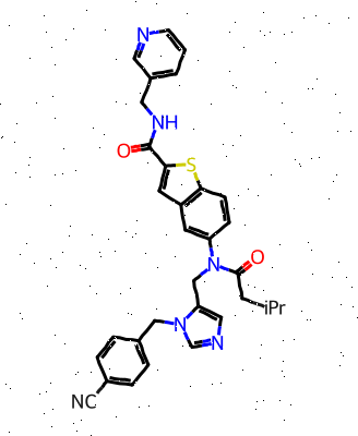 CC(C)CC(=O)N(Cc1cncn1Cc1ccc(C#N)cc1)c1ccc2sc(C(=O)NCc3cccnc3)cc2c1